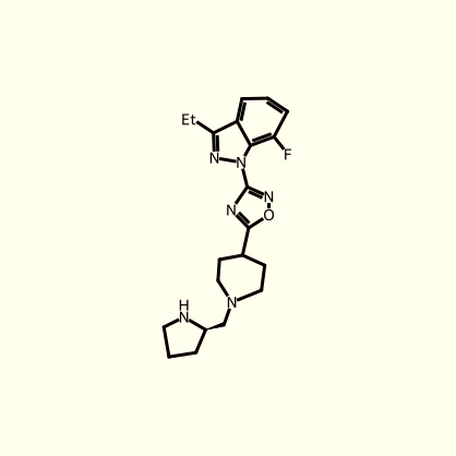 CCc1nn(-c2noc(C3CCN(C[C@H]4CCCN4)CC3)n2)c2c(F)cccc12